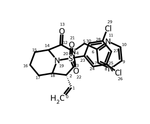 C=C[C@H]1CN(Cc2cnccn2)C(=O)C2CCCC1N2S(=O)(=O)c1cc(Cl)cc(Cl)c1